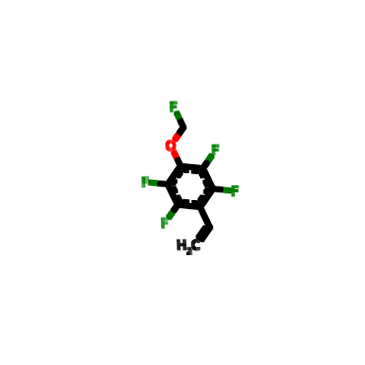 C=Cc1c(F)c(F)c(OCF)c(F)c1F